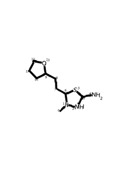 CN1NC(N)SC1CCC1CCCO1